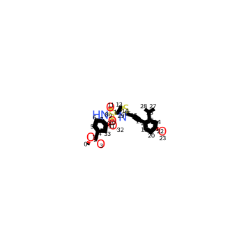 COC(=O)c1ccc(NS(=O)(=O)c2csc(C#Cc3ccc(OC)cc3C(C)C)n2)c(OC)c1